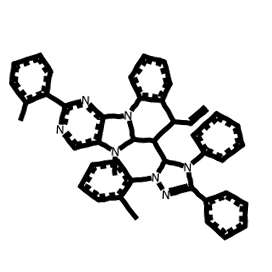 C=CC1c2ccccc2N2c3nc(-c4ccccc4C)ncc3N(C)C2C1C1N(c2ccccc2C)N=C(c2ccccc2)N1c1ccccc1